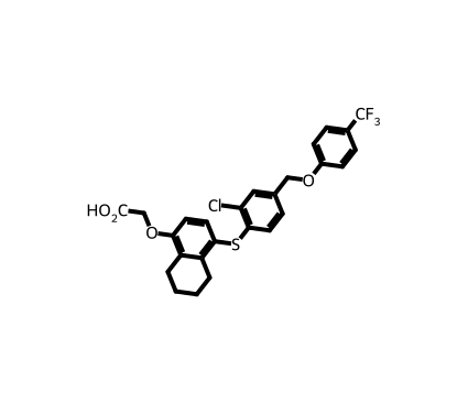 O=C(O)COc1ccc(Sc2ccc(COc3ccc(C(F)(F)F)cc3)cc2Cl)c2c1CCCC2